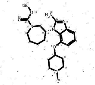 CC(=O)N1CCC(Oc2cccc3nc(N)n([C@@H]4CCCCN(C(=O)OC(C)(C)C)C4)c23)CC1